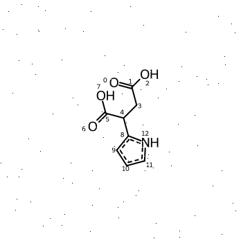 O=C(O)CC(C(=O)O)c1ccc[nH]1